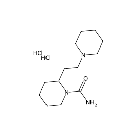 Cl.Cl.NC(=O)N1CCCCC1CCN1CCCCC1